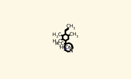 CC=CC1C(C)CC(C2(C)/C=C\CN3CC(C2)N3C)C(C)C1C